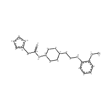 CCOc1ccccc1OCCC1CCN(OC(=O)Cc2cncs2)CC1